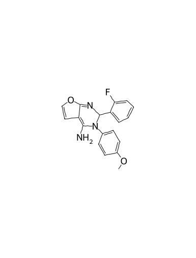 COc1ccc(N2C(N)=c3ccoc3=NC2c2ccccc2F)cc1